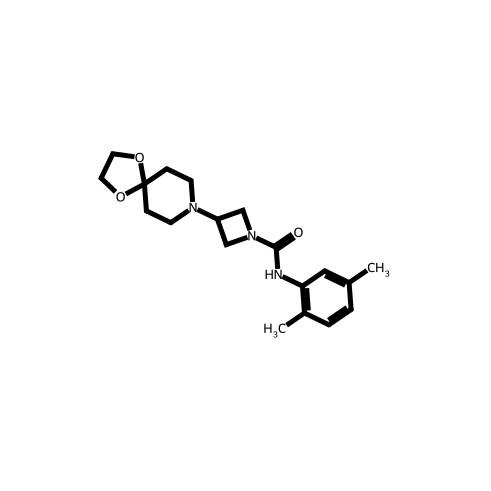 Cc1ccc(C)c(NC(=O)N2CC(N3CCC4(CC3)OCCO4)C2)c1